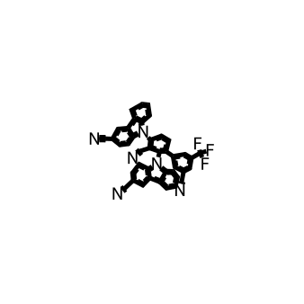 N#Cc1cc(-c2ccc(-n3c4ccccc4c4cc(C#N)ccc43)c(C#N)c2-n2c3ccccc3c3cc(C#N)ccc32)cc(C(F)(F)F)c1